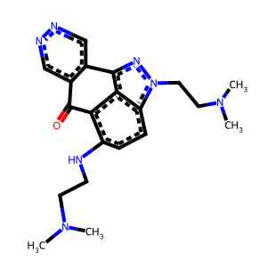 CN(C)CCNc1ccc2c3c(nn2CCN(C)C)-c2cnncc2C(=O)c13